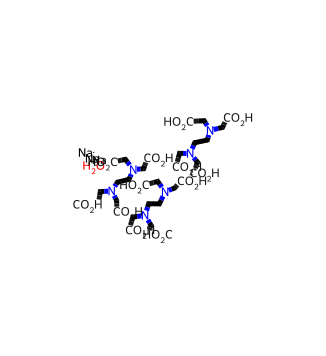 O.O=C(O)CN(CCN(CC(=O)O)CC(=O)O)CC(=O)O.O=C(O)CN(CCN(CC(=O)O)CC(=O)O)CC(=O)O.O=C(O)CN(CCN(CC(=O)O)CC(=O)O)CC(=O)O.[Na].[Na].[Na]